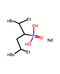 CCCCC(CC)CC(C(CC)CCCC)P(=O)(O)O.[Nd]